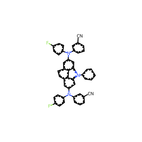 N#Cc1cccc(N(c2ccc(F)cc2)c2cc3ccc4cc(N(c5ccc(F)cc5)c5cccc(C#N)c5)cc5c4c3c(c2)n5-c2ccccc2)c1